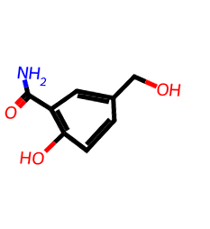 NC(=O)c1cc(CO)ccc1O